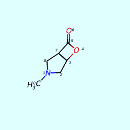 CN1CC2OC(=O)C2C1